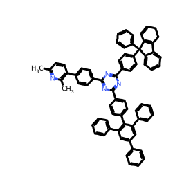 Cc1ccc(-c2ccc(-c3nc(-c4ccc(-c5c(-c6ccccc6)cc(-c6ccccc6)cc5-c5ccccc5)cc4)nc(-c4ccc(C5(c6ccccc6)C6=C(CCC=C6)c6ccccc65)cc4)n3)cc2)c(C)n1